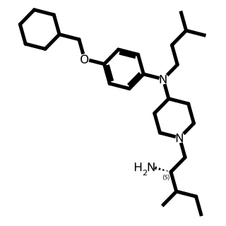 CCC(C)[C@H](N)CN1CCC(N(CCC(C)C)c2ccc(OCC3CCCCC3)cc2)CC1